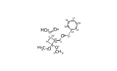 COC1(OC)C[C@H](C(=O)O)[C@H]1COCc1ccccc1